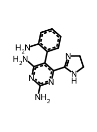 Nc1nc(N)c(-c2ccccc2N)c(C2=NCCN2)n1